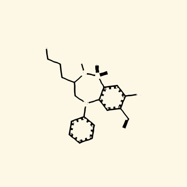 CCCCC1CN(c2ccccc2)c2cc(C=O)c(Br)cc2S(=O)(=O)N1C